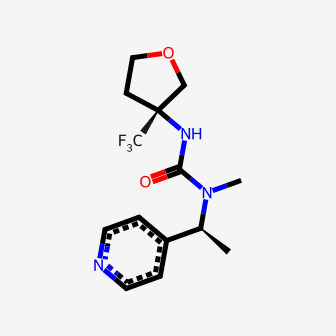 C[C@@H](c1ccncc1)N(C)C(=O)N[C@]1(C(F)(F)F)CCOC1